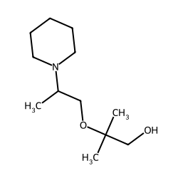 CC(COC(C)(C)CO)N1CCCCC1